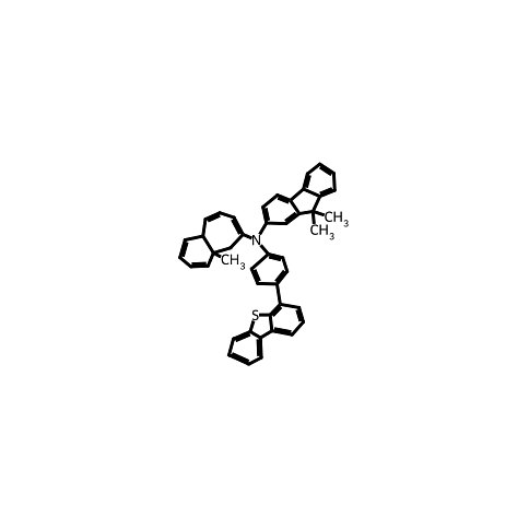 CC1(C)c2ccccc2-c2ccc(N(C3=CC=CC4C=CC=CC4(C)C3)c3ccc(-c4cccc5c4sc4ccccc45)cc3)cc21